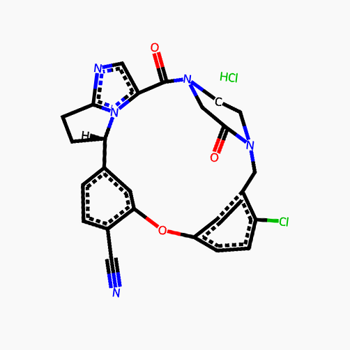 Cl.N#Cc1ccc2cc1Oc1ccc(Cl)c(c1)CN1CCN(CC1=O)C(=O)c1cnc3n1[C@H]2CC3